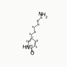 NCCCCCCc1ccc(=O)[nH]c1